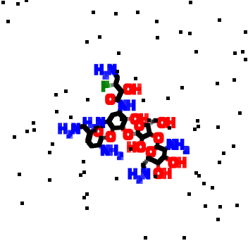 NCC1=CC[C@@H](N)[C@@H](O[C@H]2[C@H](O[C@@H]3O[C@H](CO)[C@@H](O[C@H]4O[C@@H](CN)[C@@H](O)[C@H](O)[C@H]4N)[C@H]3O)[C@@H](O)[C@H](NC(=O)[C@@H](O)[C@H](F)CN)C[C@@H]2N)O1